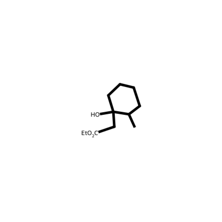 CCOC(=O)CC1(O)CCCCC1C